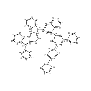 c1ccc(-c2ccc(-c3cc(-c4ccccc4)nc(-c4cc(-n5c6ccccc6c6c7c8ccccc8n(-c8ccccc8)c7ccc65)cc5ccccc45)n3)cc2)cc1